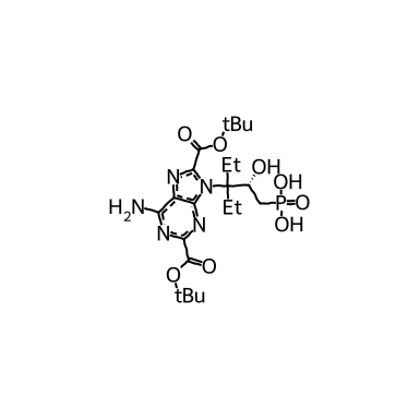 CCC(CC)([C@H](O)CP(=O)(O)O)n1c(C(=O)OC(C)(C)C)nc2c(N)nc(C(=O)OC(C)(C)C)nc21